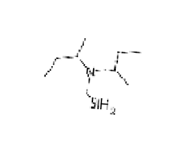 CCC(C)N(C[SiH3])C(C)CC